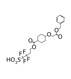 O=C(COC1CCC(C(=O)OCCC(F)(F)C(F)(F)S(=O)(=O)O)CC1)OCc1ccccc1